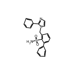 NS(=O)(=O)c1c(Cn2ccnc2-c2ccccc2)cccc1-c1ccccc1